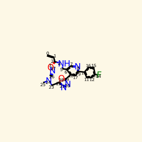 C=CC(=O)NCc1cnc(-c2ccc(F)cc2)cc1-c1nnc(CN(C)C#N)o1